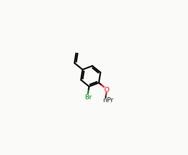 C=Cc1ccc(OCCC)c(Br)c1